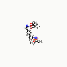 CC(C)S(=O)(=O)Nc1cccc(-c2ccc([C@H]3C[C@@H]3NC(=O)OC(C)(C)C)cc2)c1